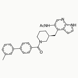 CC(=O)Nc1cnc2[nH]ccc2c1C[C@@H]1CCCN(C(=O)c2ccc(-c3cccc(C)c3)cc2)C1